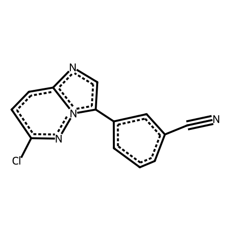 N#Cc1cccc(-c2cnc3ccc(Cl)nn23)c1